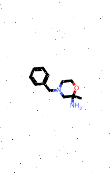 CC1(N)CN(Cc2ccccc2)CCO1